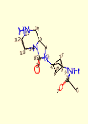 CC(=O)NC12CC(N3CC4CNCCN4C3=O)(C1)C2